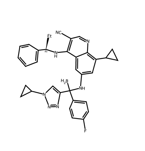 BC(Nc1cc(C2CC2)c2ncc(C#N)c(N[C@H](CC)c3ccccc3)c2c1)(c1ccc(F)cc1)c1cn(C2CC2)nn1